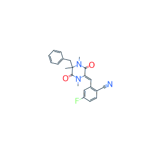 CN1C(=O)C(C)(Cc2ccccc2)N(C)C(=O)C1=Cc1cc(F)ccc1C#N